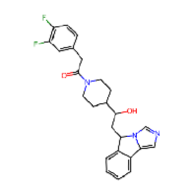 O=C(Cc1ccc(F)c(F)c1)N1CCC(C(O)CC2c3ccccc3-c3cncn32)CC1